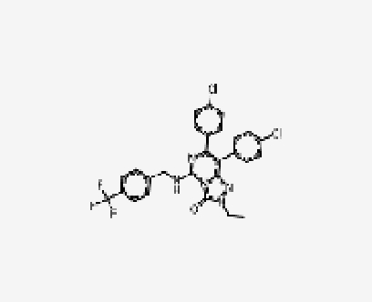 CCn1nc2c(-c3ccc(Cl)cc3)c(-c3ccc(Cl)cc3)nc(NCc3ccc(C(F)(F)F)cc3)n2c1=O